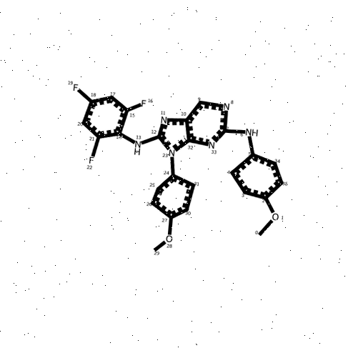 COc1ccc(Nc2ncc3nc(Nc4c(F)cc(F)cc4F)n(-c4ccc(OC)cc4)c3n2)cc1